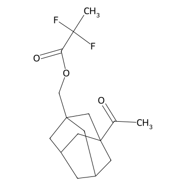 CC(=O)C12CC3CC(CC(COC(=O)C(C)(F)F)(C3)C1)C2